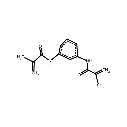 C=C(C)C(=O)Nc1[c]ccc(NC(=O)C(=C)C)c1